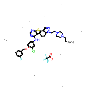 COCCN1CCN(CCn2ncc3c2CCc2c-3sc3ncnc(Nc4ccc(OCc5cccc(F)c5)c(Cl)c4)c23)CC1.O=C(O)C(F)(F)F